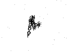 CN(C)C(=O)Cn1nnc(C2(C(=O)NCc3cc(C(F)(F)F)cc(C(F)(F)F)c3)CCC(N3CCC(c4ccc(F)cc4)CC3)C2)n1